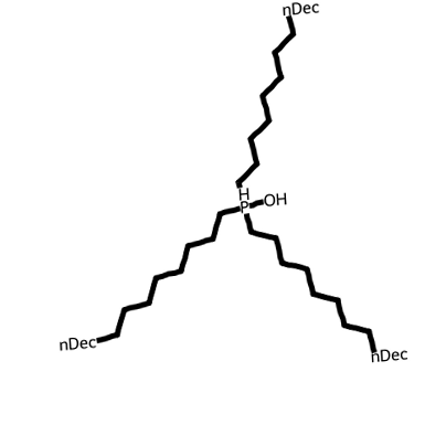 CCCCCCCCCCCCCCCCCC[PH](O)(CCCCCCCCCCCCCCCCCC)CCCCCCCCCCCCCCCCCC